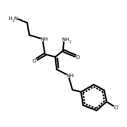 NCCNC(=O)/C(=C/NCc1ccc(Cl)cc1)C(N)=O